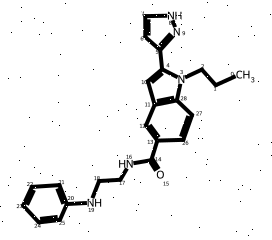 CCCn1c(-c2cc[nH]n2)cc2cc(C(=O)NCCNc3ccccc3)ccc21